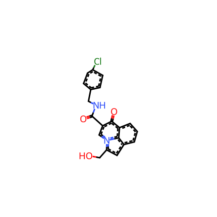 O=C(NCc1ccc(Cl)cc1)c1cn2c(CO)cc3cccc(c1=O)c32